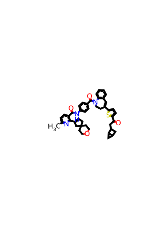 Cc1ccc(C(=O)Nc2ccc(C(=O)N3CCC(c4ccc(C(=O)CC5CC6CC56)s4)=Cc4ccccc43)cc2)c(C2=CCC3(CCOCC3)C2)n1